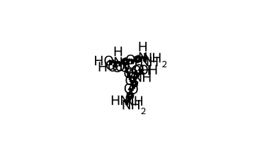 N=C(N)Nc1ccc(C(=O)Oc2ccc(C(=O)NC(CC(=O)O)C(=O)O)c(OCCOCCOc3cc(OC(=O)c4ccc(NC(=N)N)cc4)ccc3C(=O)NC(CC(=O)O)C(=O)O)c2)cc1